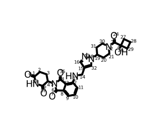 O=C1CCC(N2C(=O)c3cccc(NCc4cnn(C5CCN(C(=O)C6(O)CCC6)CC5)c4)c3C2=O)C(=O)N1